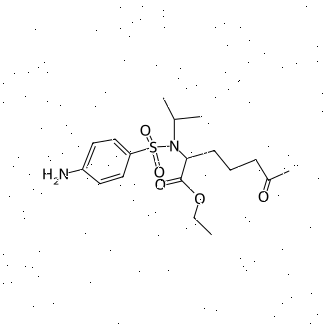 CCOC(=O)C(CCCC(C)=O)N(C(C)C)S(=O)(=O)c1ccc(N)cc1